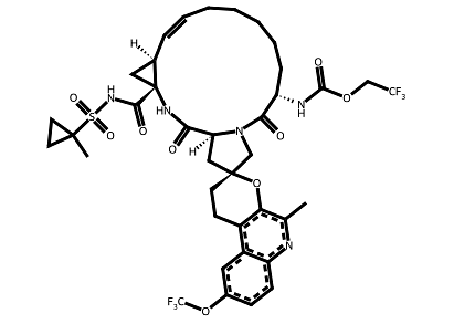 Cc1nc2ccc(OC(F)(F)F)cc2c2c1O[C@]1(CC2)C[C@H]2C(=O)N[C@]3(C(=O)NS(=O)(=O)C4(C)CC4)C[C@H]3/C=C\CCCCC[C@H](NC(=O)OCC(F)(F)F)C(=O)N2C1